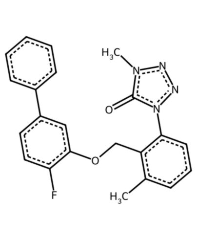 Cc1cccc(-n2nnn(C)c2=O)c1COc1cc(-c2ccccc2)ccc1F